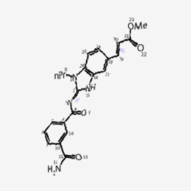 CCCn1/c(=N/C(=O)c2cccc(C(N)=O)c2)[nH]c2cc(/C=C/C(=O)OC)ccc21